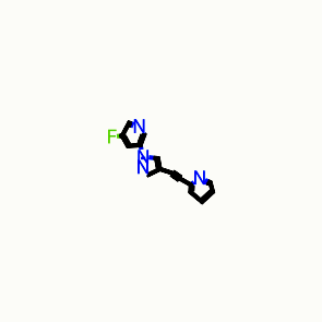 Fc1cncc(-n2cc(C#Cc3ccccn3)cn2)c1